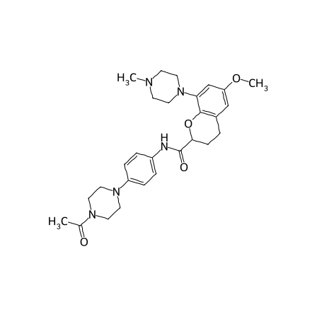 COc1cc2c(c(N3CCN(C)CC3)c1)OC(C(=O)Nc1ccc(N3CCN(C(C)=O)CC3)cc1)CC2